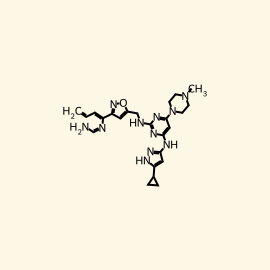 C=C/C=C(\N=C/N)c1cc(CNc2nc(Nc3cc(C4CC4)[nH]n3)cc(N3CCN(C)CC3)n2)on1